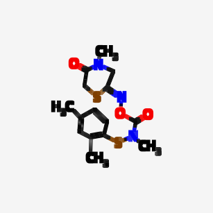 Cc1ccc(SN(C)C(=O)ON=C2CN(C)C(=O)CS2)c(C)c1